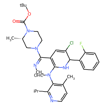 C/N=C(\C1=C(N(C=O)c2c(C)ccnc2C(C)C)NC(c2ccccc2F)C(Cl)=C1)N1CCN(C(=O)OC(C)(C)C)[C@@H](C)C1